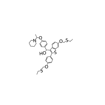 CCSCOc1ccc(-c2sc3cc(OCSCC)ccc3c2C(O)c2ccc(OC(C)N3CCCCC3)cc2)cc1